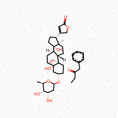 CCC(=O)Cc1ccccc1.C[C@H]1O[C@@H](O[C@H]2CC[C@]3(C=O)[C@H]4CC[C@]5(C)[C@@H](C6=CC(=O)OC6)CC[C@]5(O)[C@@H]4CC[C@]3(O)C2)C[C@H](O)[C@@H]1O